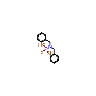 S=P(S)(S)N(Cc1ccccc1)Cc1ccccc1